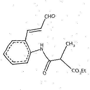 CCOC(=O)C(C)C(=O)Nc1ccccc1/C=C/[C]=O